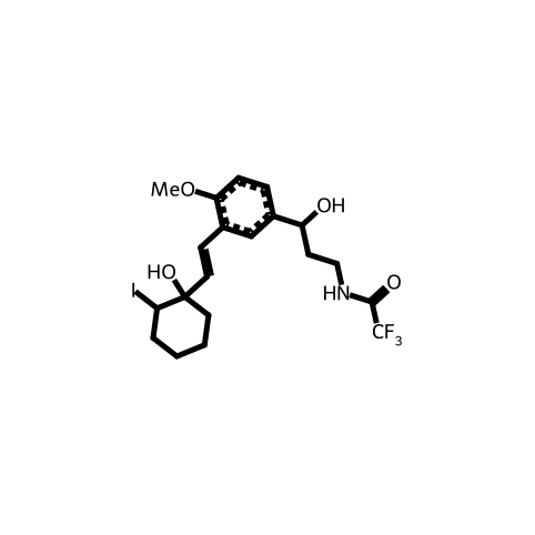 COc1ccc(C(O)CCNC(=O)C(F)(F)F)cc1C=CC1(O)CCCCC1I